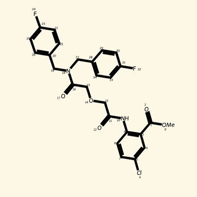 COC(=O)c1cc(Cl)ccc1NC(=O)COCC(=O)N(Cc1ccc(F)cc1)Cc1ccc(F)cc1